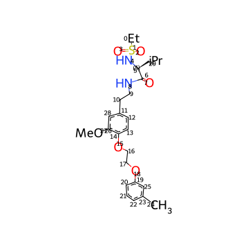 CCS(=O)(=O)N[C@H](C(=O)NCCc1ccc(OCCOc2cccc(C)c2)c(OC)c1)C(C)C